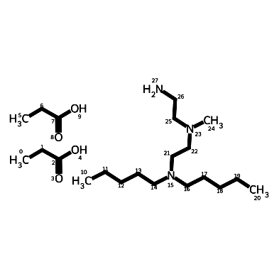 CCC(=O)O.CCC(=O)O.CCCCCN(CCCCC)CCN(C)CCN